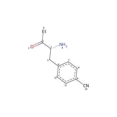 CCC(=O)[C@H](N)Cc1ccc(C#N)cc1